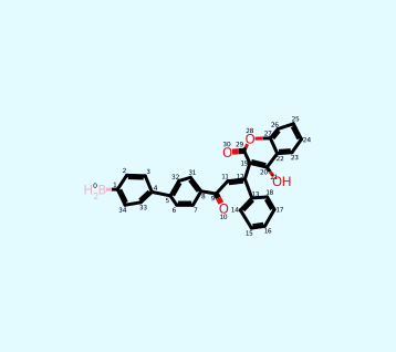 Bc1ccc(-c2ccc(C(=O)/C=C(\c3ccccc3)c3c(O)c4ccccc4oc3=O)cc2)cc1